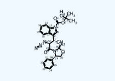 C[C@@H](c1cn(C(=O)OC(C)(C)C)c2ccccc12)[C@H](N=[N+]=[N-])C(=O)N1C(=O)OC[C@H]1c1ccccc1